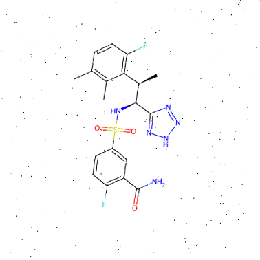 Cc1ccc(F)c([C@@H](C)[C@H](NS(=O)(=O)c2ccc(F)c(C(N)=O)c2)c2nn[nH]n2)c1C